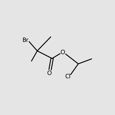 CC(Cl)OC(=O)C(C)(C)Br